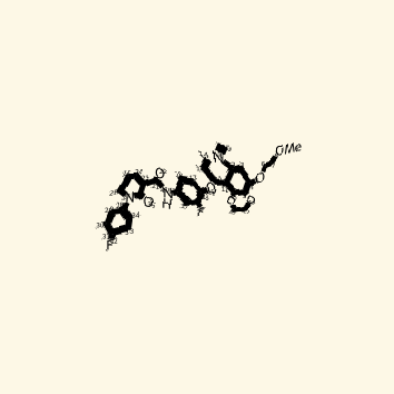 C=Nc1cc(OCCOC)c2c(c1/C(=C\C)Oc1ccc(NC(=O)c3cccn(-c4ccc(F)cc4)c3=O)cc1F)OCCO2